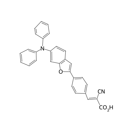 N#C/C(=C\c1ccc(-c2cc3ccc(N(c4ccccc4)c4ccccc4)cc3o2)cc1)C(=O)O